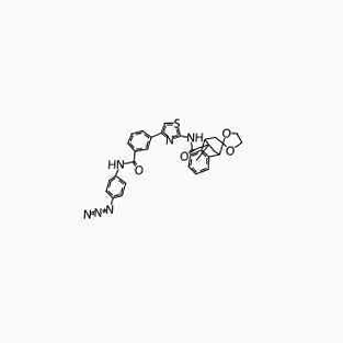 CC1(C(=O)Nc2nc(-c3cccc(C(=O)Nc4ccc(N=[N+]=[N-])cc4)c3)cs2)CC2c3ccccc3C1CC21OCCO1